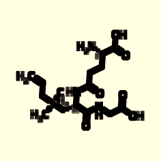 C=CCS(C)(C)C[C@H](NC(=O)CC[C@H](N)C(=O)O)C(=O)NCC(=O)O